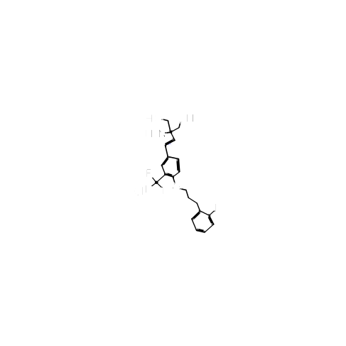 Cl.NC(/C=C/c1ccc(OCCCc2ccccc2F)c(C(F)(F)F)c1)(CO)CO